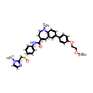 CCCCOCCOc1ccc(-c2ccc3c(c2)C=C(C(=O)Nc2ccc([S+]([O-])Cc4nccn4CCC)cc2)CCN3CCC)cc1